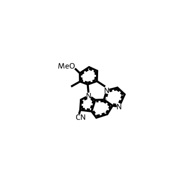 COc1ccc(C)c(-n2cc(C#N)c3ccc4nccnc4c32)c1C